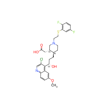 COc1ccc2ncc(Cl)c([C@@H](O)CC[C@@H]3CCN(CCSc4cc(F)ccc4F)C[C@H]3CC(=O)O)c2c1